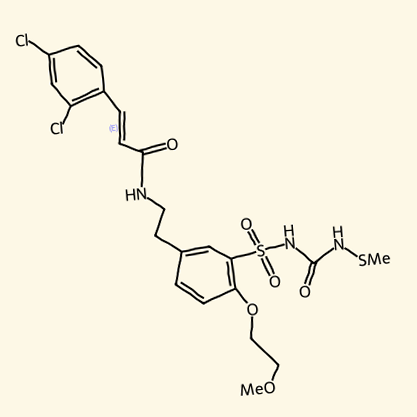 COCCOc1ccc(CCNC(=O)/C=C/c2ccc(Cl)cc2Cl)cc1S(=O)(=O)NC(=O)NSC